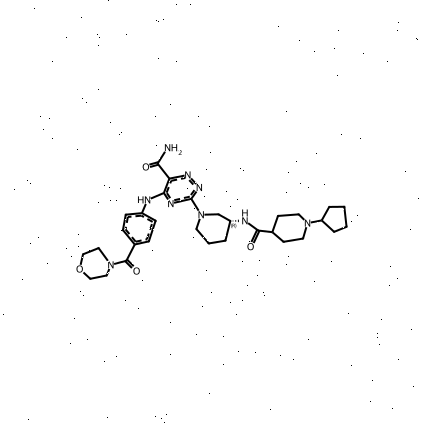 NC(=O)c1nnc(N2CCC[C@@H](NC(=O)C3CCN(C4CCCC4)CC3)C2)nc1Nc1ccc(C(=O)N2CCOCC2)cc1